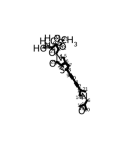 C[C@@](CCN1Cc2cc(C#CC#CC3CN(CC4COC4)C3)sc2C1=O)(C(=O)NO)S(C)(=O)=O